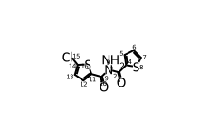 NN(C(=O)c1cccs1)C(=O)c1ccc(Cl)s1